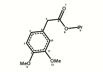 COc1ccc(CC(=O)OC(C)C)cc1OC